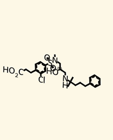 CN(C[C@H](O)CNC(C)(C)CCCc1ccccc1)S(=O)(=O)c1ccc(CCC(=O)O)c(Cl)c1